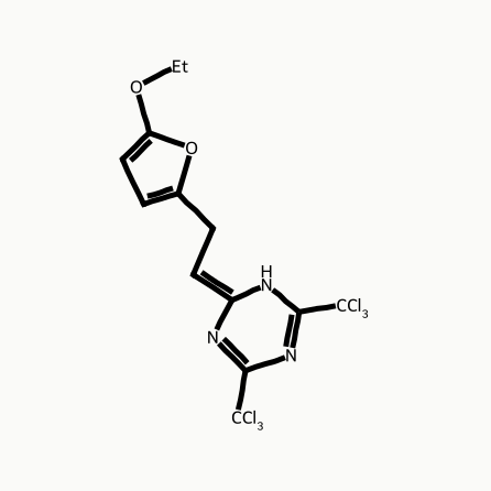 CCOc1ccc(CC=C2N=C(C(Cl)(Cl)Cl)N=C(C(Cl)(Cl)Cl)N2)o1